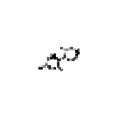 Cc1cnccc1-c1ncc(F)cc1C